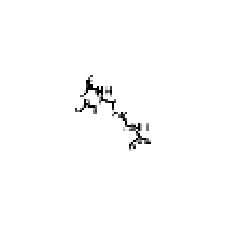 C=C(CC(C)C)NCCCOCNC(C)C